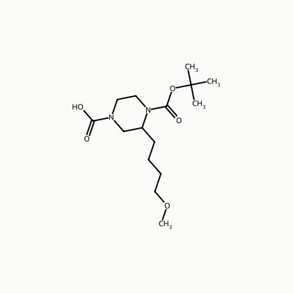 COCCCCC1CN(C(=O)O)CCN1C(=O)OC(C)(C)C